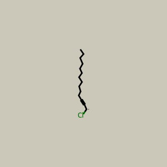 CCCCCCCCCCCC#C[CH]Cl